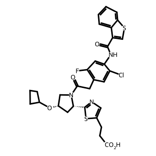 O=C(O)CCc1cnc([C@@H]2C[C@H](OC3CCC3)CN2C(=O)Cc2cc(Cl)c(NC(=O)c3csc4ccccc34)cc2F)s1